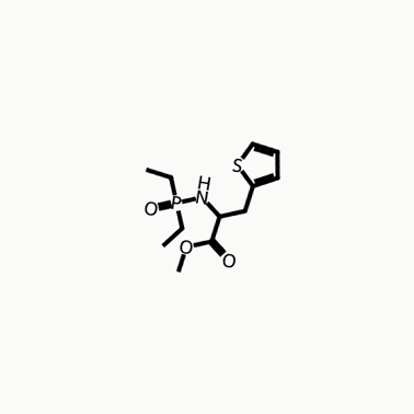 CCP(=O)(CC)NC(Cc1cccs1)C(=O)OC